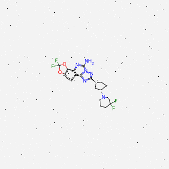 Nc1nc2c3c(ccc2c2nc([C@H]4CC[C@H](N5CCCC(F)(F)C5)C4)nn12)OC(F)(F)O3